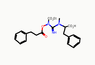 CCOC(=O)N(OC(=O)CCc1ccccc1)C(=N)N(C)C(Cc1ccccc1)C(=O)O